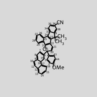 COc1ccc(C2(C3=CC=C4C=Cc5ccccc5C4C3)C=Cc3c4c(c5ccccc5c3O2)-c2ccc(C#N)cc2C4(C)C)cc1